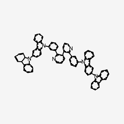 C1=CC2c3ccccc3N(c3ccc4c(c3)c3ccccc3n4-c3cccc(-c4ncccc4-c4cccnc4-c4cccc(-n5c6ccccc6c6cc(-n7c8ccccc8c8ccccc87)ccc65)c4)c3)C2C=C1